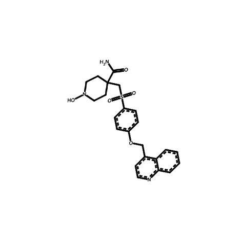 NC(=O)C1(CS(=O)(=O)c2ccc(OCc3ccnc4ccccc34)cc2)CCN(O)CC1